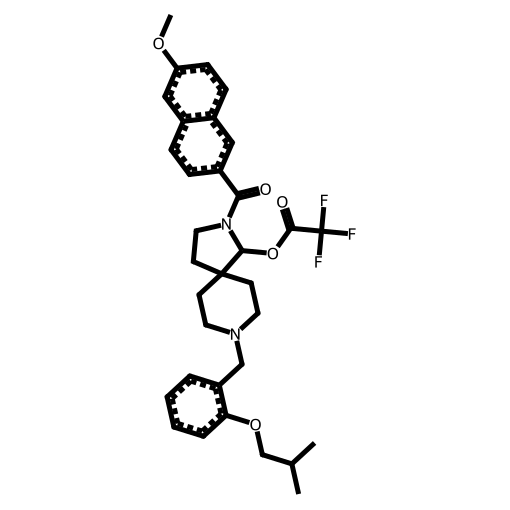 COc1ccc2cc(C(=O)N3CCC4(CCN(Cc5ccccc5OCC(C)C)CC4)C3OC(=O)C(F)(F)F)ccc2c1